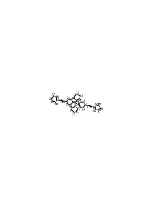 C(#Cc1ccc([Si](c2ccccc2)(c2ccccc2)c2ccc(C#Cc3ccccc3)cc2)cc1)c1ccccc1